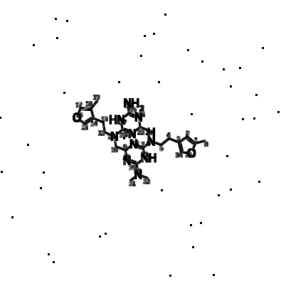 Cc1cc(CCNC2=NC(CN(CCc3cocc3C)C3=NC(C)N=C(N)N3)N=C(N(C)C)N2)co1